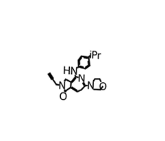 C#CCN1CC2=C(Nc3ccc(C(C)C)cc3)N=C(N3CCOCC3)CC=C2C1=O